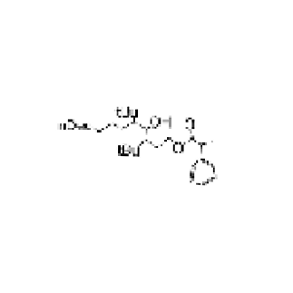 CCCCCCCCCCCCCC(C(O)C(CCOC(=O)C(C)c1ccccc1)C(C)(C)C)C(C)(C)C